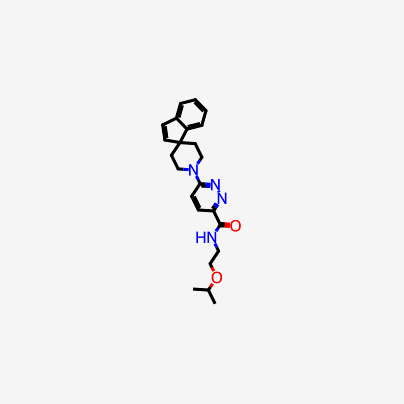 CC(C)OCCNC(=O)c1ccc(N2CCC3(C=Cc4ccccc43)CC2)nn1